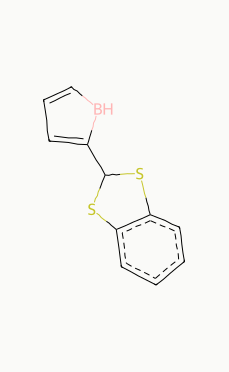 B1C=CC=C1C1Sc2ccccc2S1